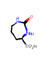 O=C1NCCCC(C(=O)O)N1